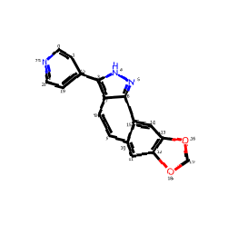 c1cc(-c2[nH]nc3c2ccc2cc4c(cc23)OCO4)ccn1